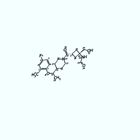 Cc1cc(F)ccc1OC(C)C1CCN(C(=O)[C@H]2C[C@@](CO)(NC=O)C2)CC1